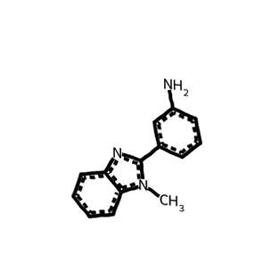 Cn1c(-c2cccc(N)c2)nc2ccccc21